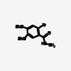 COc1cc(Br)c(C(=O)NN)cc1OC